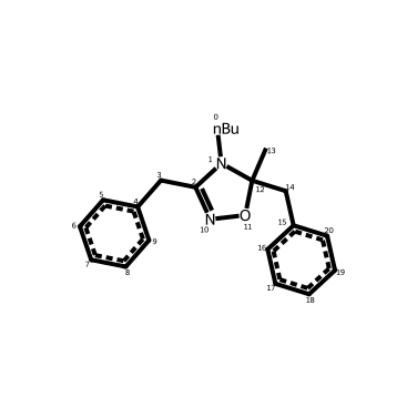 CCCCN1C(Cc2ccccc2)=NOC1(C)Cc1ccccc1